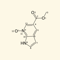 COC(=O)c1cc2cc[nH]c2[n+]([O-])c1